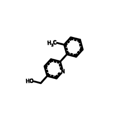 Cc1ccccc1-c1ccc(CO)cn1